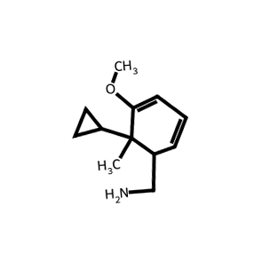 COC1=CC=CC(CN)C1(C)C1CC1